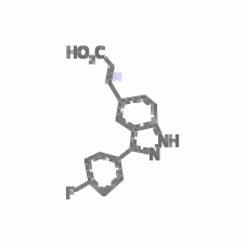 O=C(O)/C=C/c1ccc2[nH]nc(-c3ccc(F)cc3)c2c1